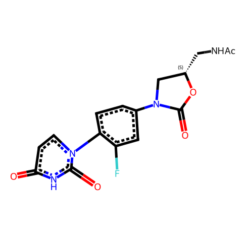 CC(=O)NC[C@H]1CN(c2ccc(-n3ccc(=O)[nH]c3=O)c(F)c2)C(=O)O1